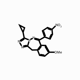 COc1ccc2c(c1)C(c1ccc([N+](=O)[O-])cc1)=Nn1c(nnc1C1CC1)C2